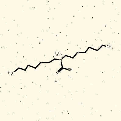 CCCCCCCCN(CCCCCCCC)C(=S)S.O